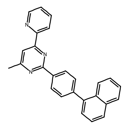 Cc1cc(-c2ccccn2)nc(-c2ccc(-c3cccc4ccccc34)cc2)n1